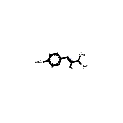 CCCCCCc1ccc(/C=C(\CCC)C(OC(C)=O)OC(C)=O)cc1